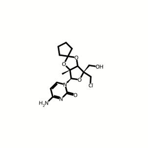 C[C@@]12OC3(CCCC3)OC1[C@](CO)(CCl)O[C@H]2n1ccc(N)nc1=O